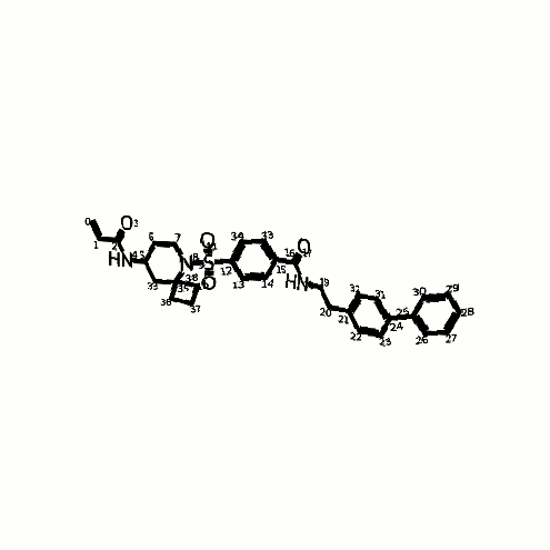 C=CC(=O)NC1CCN(S(=O)(=O)c2ccc(C(=O)NCCc3ccc(-c4ccccc4)cc3)cc2)C2(CCC2)C1